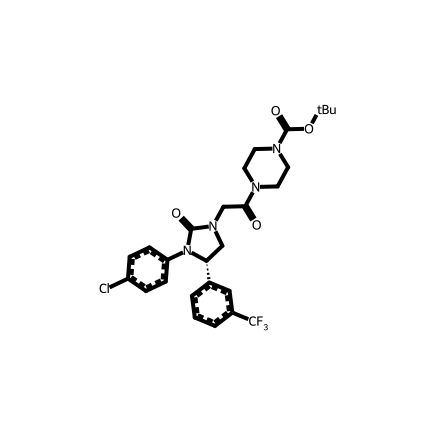 CC(C)(C)OC(=O)N1CCN(C(=O)CN2C[C@H](c3cccc(C(F)(F)F)c3)N(c3ccc(Cl)cc3)C2=O)CC1